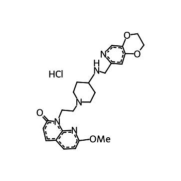 COc1ccc2ccc(=O)n(CCN3CCC(NCc4cc5c(cn4)OCCO5)CC3)c2n1.Cl